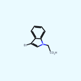 CCc1cn(CC(=O)O)c2ccccc12